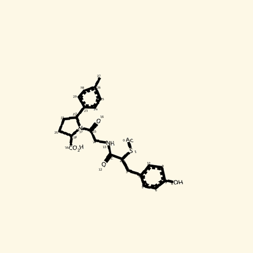 CC(=O)SC(Cc1ccc(O)cc1)C(=O)NCC(=O)N1C(C(=O)O)CCC1c1ccc(C)cc1